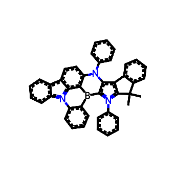 CC1(C)c2ccccc2-c2c3c(n(-c4ccccc4)c21)B1c2ccccc2-n2c4ccccc4c4ccc(c1c42)N3c1ccccc1